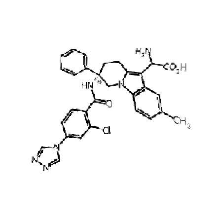 Cc1ccc2c(c1)c(C(N)C(=O)O)c1n2C[C@@](NC(=O)c2ccc(-n3cnnc3)cc2Cl)(c2ccccc2)CC1